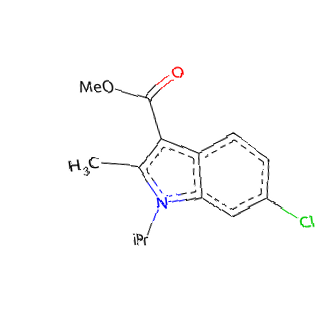 COC(=O)c1c(C)n(C(C)C)c2cc(Cl)ccc12